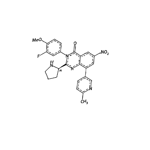 COc1ccc(-n2c([C@H]3CCCN3)nc3c(-c4ccc(C)nc4)cc([N+](=O)[O-])cc3c2=O)cc1F